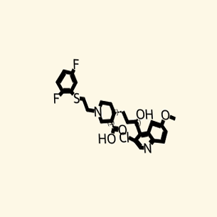 COc1ccc2ncc(Cl)c([C@@H](O)CC[C@H]3CCN(CCSc4cc(F)ccc4F)C[C@H]3C(=O)O)c2c1